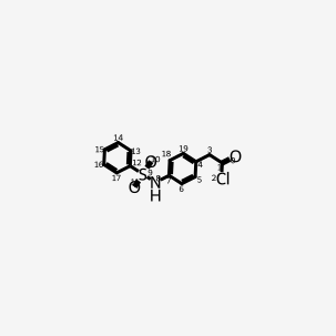 O=C(Cl)Cc1ccc(NS(=O)(=O)c2ccccc2)cc1